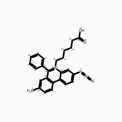 [N-]=[N+]=Nc1ccc2c3ccc(N)cc3c(-c3ccccc3)[n+](CCCCCC(=O)O)c2c1